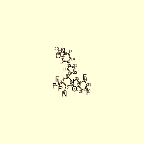 N#Cc1c(C(F)(F)F)cc(-c2cc(-c3ccc4c(c3)OCO4)cs2)n(Cc2ccc(F)cc2F)c1=O